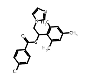 Cc1cc(C)c(C(Cn2ccnc2)SC(=O)c2ccc(Cl)cc2)c(C)c1